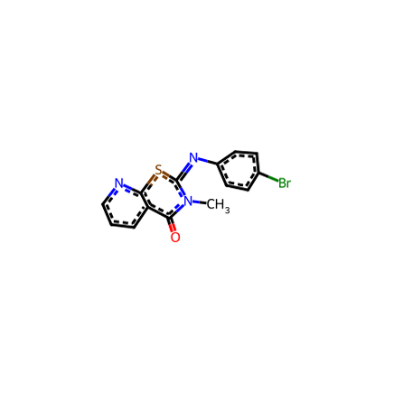 Cn1c(=Nc2ccc(Br)cc2)sc2ncccc2c1=O